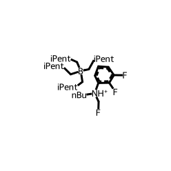 CCCC(C)C[B-](CC(C)CCC)(CC(C)CCC)CC(C)CCC.CCCC[NH+](CF)c1cccc(F)c1F